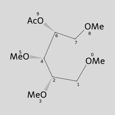 COC[C@H](OC)[C@H](OC)[C@@H](COC)OC(C)=O